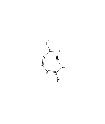 F/C1=C/C=C\C(F)/C=C/C1